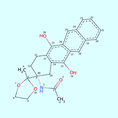 CC(=O)N[C@]1(C2(C)OCCO2)CCc2c(c(O)c3cc4ccccc4cc3c2O)C1